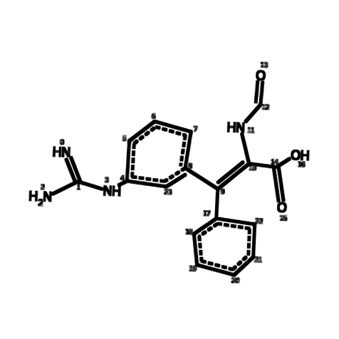 N=C(N)Nc1cccc(C(=C(NC=O)C(=O)O)c2ccccc2)c1